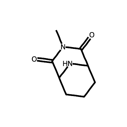 CN1C(=O)C2CCCC(N2)C1=O